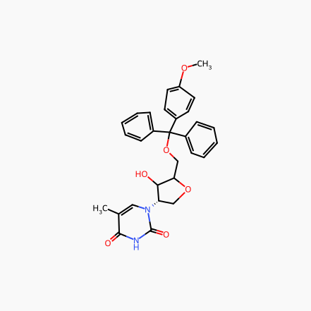 COc1ccc(C(OCC2OC[C@H](n3cc(C)c(=O)[nH]c3=O)C2O)(c2ccccc2)c2ccccc2)cc1